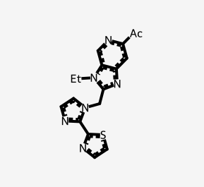 CCn1c(Cn2ccnc2-c2nccs2)nc2cc(C(C)=O)ncc21